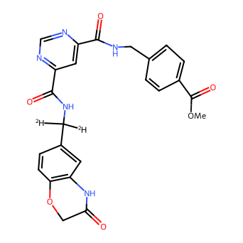 [2H]C([2H])(NC(=O)c1cc(C(=O)NCc2ccc(C(=O)OC)cc2)ncn1)c1ccc2c(c1)NC(=O)CO2